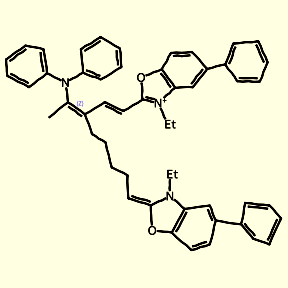 CCN1C(=CCCCC/C(C=Cc2oc3ccc(-c4ccccc4)cc3[n+]2CC)=C(\C)N(c2ccccc2)c2ccccc2)Oc2ccc(-c3ccccc3)cc21